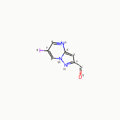 O=Cc1cc2ncc(I)cn2n1